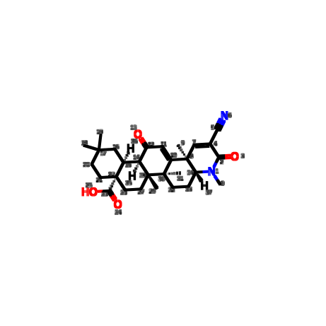 CN1C(=O)C(C#N)=C[C@]2(C)C3=CC(=O)[C@@H]4[C@@H]5CC(C)(C)CC[C@]5(C(=O)O)CC[C@@]4(C)[C@]3(C)CC[C@@H]12